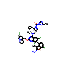 CN(C[C@@H]1CN(C(=O)n2cnc(C#N)n2)[C@@H]1C1CCC1)c1nc(OC[C@@]23CCCN2C[C@H](F)C3)nc2c(F)c(-c3ccc(F)c4sc(N)c(C#N)c34)c(Cl)cc12